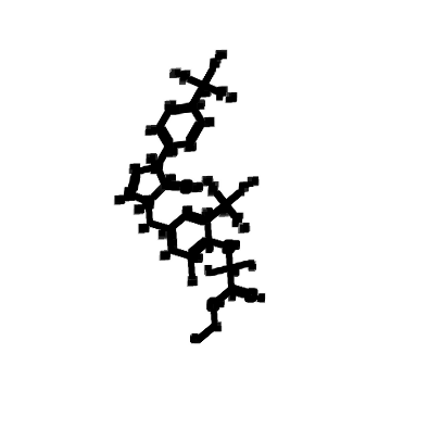 CCOC(=O)C(C)(C)Oc1c(C)cc(Cn2ncn(-c3ccc(C(F)(F)F)cc3)c2=O)cc1C(F)(F)F